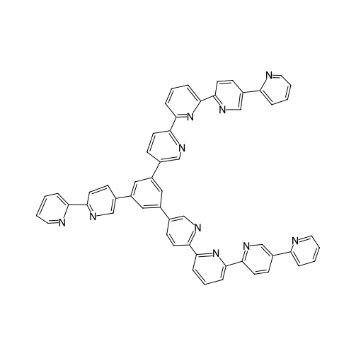 c1ccc(-c2ccc(-c3cccc(-c4ccc(-c5cc(-c6ccc(-c7ccccn7)nc6)cc(-c6ccc(-c7cccc(-c8ccc(-c9ccccn9)cn8)n7)nc6)c5)cn4)n3)nc2)nc1